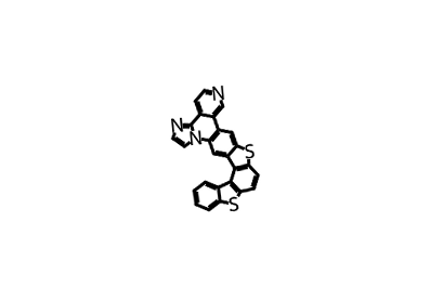 c1ccc2c(c1)sc1ccc3sc4cc5c6cnccc6c6nccn6c5cc4c3c12